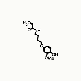 C=CC(=O)NCCCCOc1ccc(O)c(OC)c1